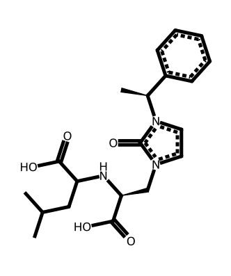 CC(C)CC(N[C@@H](Cn1ccn([C@@H](C)c2ccccc2)c1=O)C(=O)O)C(=O)O